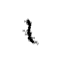 C[C@H]1CN(C2CCN(c3ccc4c(c3)C(=O)N(C3CCC(=O)NC3=O)C4=O)CC2)CCN1c1ccc(Nc2cc(-c3ccnc(N4CCn5c(cc6c5CC(C)(C)C6)C4=O)c3CO)cnc2OC(F)(F)F)nc1